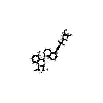 CC1=NNC2N=C(N3CCCc4c(C#CC(C)(C)c5nc(C)c(C)o5)cccc43)c3c(F)cccc3N12